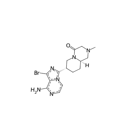 CN1CC(=O)N2C[C@@H](c3nc(Br)c4c(N)nccn34)CC[C@@H]2C1